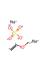 C=COC.O=S(=O)([O-])[O-].[Na+].[Na+]